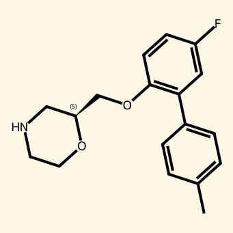 Cc1ccc(-c2cc(F)ccc2OC[C@@H]2CNCCO2)cc1